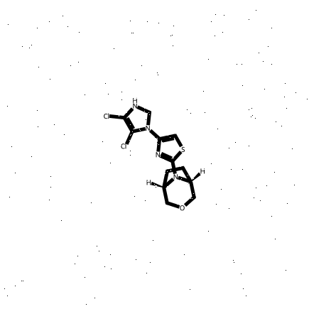 ClC1=C(Cl)N(c2csc(N3[C@@H]4CC[C@H]3COC4)n2)CN1